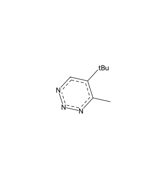 Cc1nnncc1C(C)(C)C